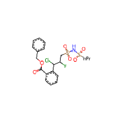 CCCS(=O)(=O)NS(=O)(=O)CC(F)C(Cl)c1ccccc1C(=O)OCc1ccccc1